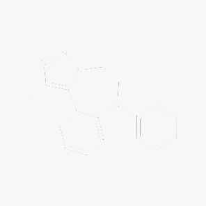 Cc1nnn2c1-c1ccccc1N(c1ccccc1)CC2